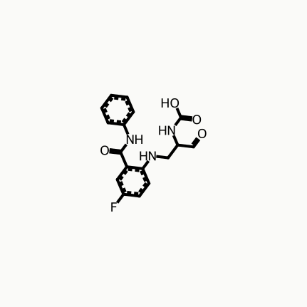 O=CC(CNc1ccc(F)cc1C(=O)Nc1ccccc1)NC(=O)O